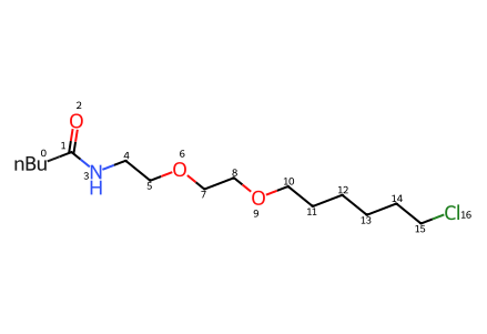 CCCCC(=O)NCCOCCOCCCCCCCl